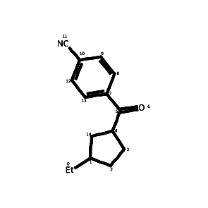 [CH2]CC1C[CH]C(C(=O)c2ccc(C#N)cc2)C1